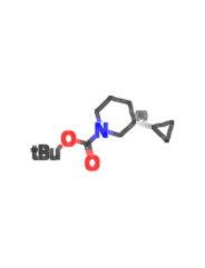 CC(C)(C)OC(=O)N1CCC[C@H](C2CC2)C1